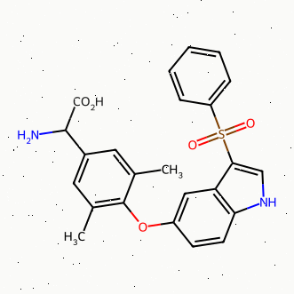 Cc1cc(C(N)C(=O)O)cc(C)c1Oc1ccc2[nH]cc(S(=O)(=O)c3ccccc3)c2c1